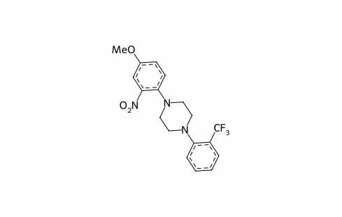 COc1ccc(N2CCN(c3ccccc3C(F)(F)F)CC2)c([N+](=O)[O-])c1